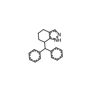 c1ccc(C(c2ccccc2)C2CCCc3cn[nH]c32)cc1